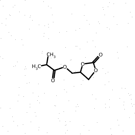 CC(C)C(=O)OCC1COC(=O)O1